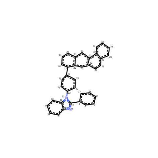 c1ccc(-c2nc3ccccc3n2-c2ccc(-c3cccc4cc5c(ccc6ccccc65)cc34)cc2)cc1